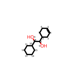 OC(C1CC=CCC1)C(O)C1CCCCC1